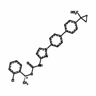 C[C@@H](OC(=O)Nc1ccn(-c2ccc(-c3ccc(C4(C(=O)O)CC4)cc3)cc2)n1)c1ccccc1Cl